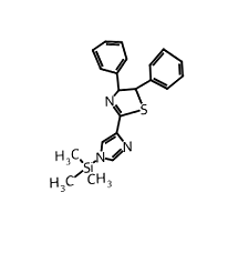 C[Si](C)(C)n1cnc(C2=NC(c3ccccc3)C(c3ccccc3)S2)c1